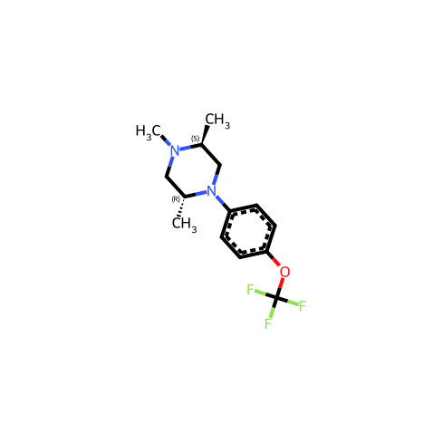 C[C@@H]1CN(C)[C@@H](C)CN1c1ccc(OC(F)(F)F)cc1